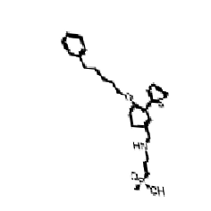 CP(=O)(O)CCCNCc1ccc(OCCCCCc2ccccc2)c(-c2cccs2)c1